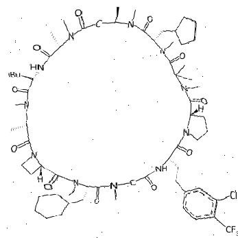 CC[C@H](C)[C@@H]1NC(=O)[C@H](C)N(C)C(=O)C[C@@H](C)N(C)C(=O)[C@H](CC2CCCC2)N(C)C(=O)C(C)(C)N(C)C(=O)[C@@H]2CCCN2C(=O)[C@H](CCc2ccc(C(F)(F)F)c(Cl)c2)NC(=O)CN(C)C(=O)[C@H](CC2CCCCC2)N(C)C(=O)[C@@H]2CCN2C(=O)[C@H](C)N(C)C1=O